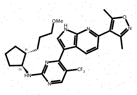 COCCC[C@H]1CCC[C@@H]1Nc1ncc(C(F)(F)F)c(-c2c[nH]c3nc(-c4c(C)noc4C)ccc23)n1